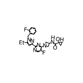 CCc1cc(-c2ncc(F)c(N3CC(NC(=O)C4(O)CC4)C3)n2)nn1Cc1ccccc1F